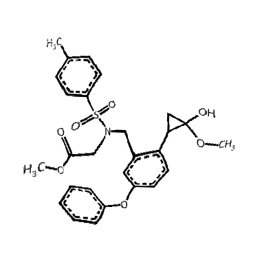 COC(=O)CN(Cc1cc(Oc2ccccc2)ccc1C1CC1(O)OC)S(=O)(=O)c1ccc(C)cc1